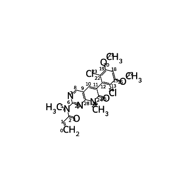 C=CC(=O)N(C)c1ncc2cc(-c3c(Cl)c(OC)cc(OC)c3Cl)c(=O)n(C)c2n1